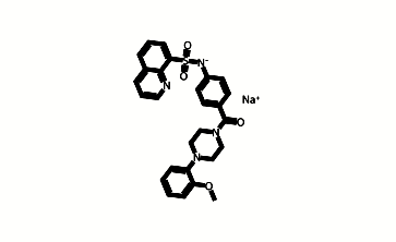 COc1ccccc1N1CCN(C(=O)c2ccc([N-]S(=O)(=O)c3cccc4cccnc34)cc2)CC1.[Na+]